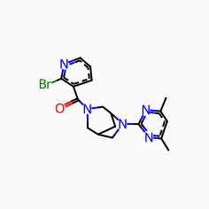 Cc1cc(C)nc(N2CC3CC2CN(C(=O)c2cccnc2Br)C3)n1